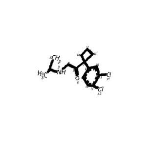 CC(C)NCC(=O)C1(c2ccc(Cl)c(Cl)c2)CCC1